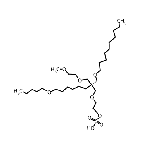 CCCCCCCCCCOC[C@](CCCCCCOCCCCC)(COCCOC)COCCOS(=O)(=O)O